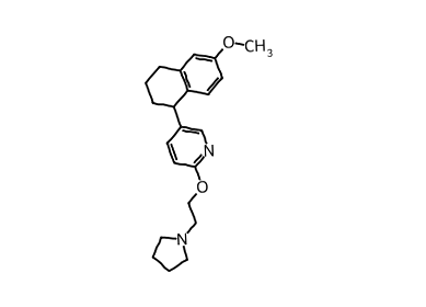 COc1ccc2c(c1)CCCC2c1ccc(OCCN2CCCC2)nc1